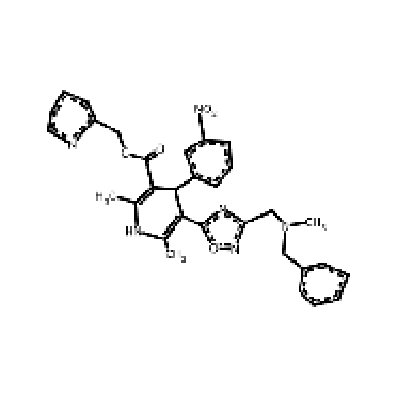 CC1=C(C(=O)OCc2ccccn2)C(c2cccc([N+](=O)[O-])c2)C(c2nc(CN(C)Cc3ccccc3)no2)=C(C)N1